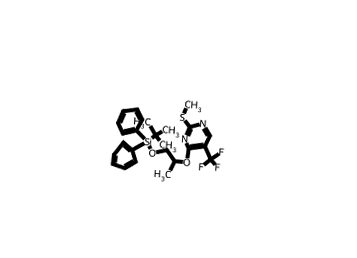 CSc1ncc(C(F)(F)F)c(OC(C)CO[Si](c2ccccc2)(c2ccccc2)C(C)(C)C)n1